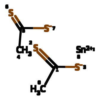 CC(=S)[S-].CC(=S)[S-].[Sn+2]